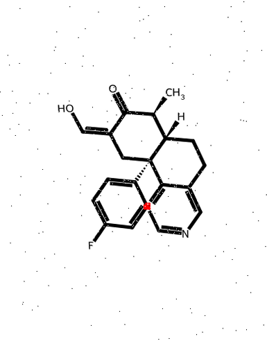 C[C@@H]1C(=O)C(=CO)C[C@]2(c3ccc(F)cc3)c3ncncc3CC[C@@H]12